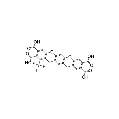 O=C(O)c1cc2c(cc1C(=O)O)Oc1cc3c(cc1C2)Cc1c(cc(C(=O)O)c(C(=O)O)c1C(F)(F)F)O3